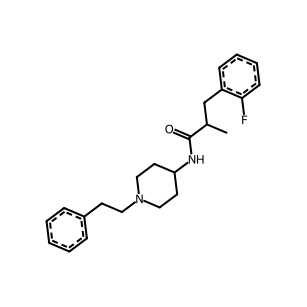 CC(Cc1ccccc1F)C(=O)NC1CCN(CCc2ccccc2)CC1